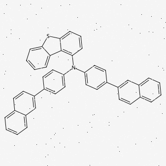 c1ccc2cc(-c3ccc(N(c4ccc(-c5ccc6ccccc6c5)cc4)c4cccc5sc6ccccc6c45)cc3)ccc2c1